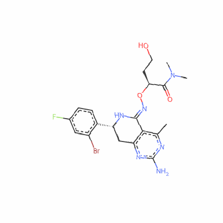 Cc1nc(N)nc2c1/C(=N/O[C@@H](CCO)C(=O)N(C)C)N[C@@H](c1ccc(F)cc1Br)C2